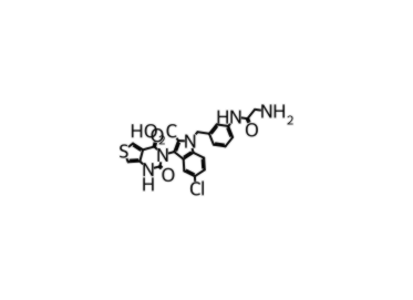 NCC(=O)Nc1cccc(Cn2c(C(=O)O)c(-n3c(=O)[nH]c4cscc4c3=O)c3cc(Cl)ccc32)c1